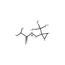 CC(C)C(=O)NCC1(C(F)(F)F)CC1